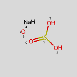 O=S(O)O.[NaH].[O]